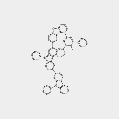 CN1C(c2ccccc2)=NC(c2cccc3oc4ccc(-c5ccc6c7cc(-c8ccc9c%10ccccc%10n(-c%10ccccc%10)c9c8)ccc7n(-c7ccccc7)c6c5)cc4c23)=NC1c1ccccc1